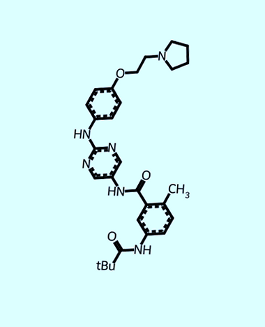 Cc1ccc(NC(=O)C(C)(C)C)cc1C(=O)Nc1cnc(Nc2ccc(OCCN3CCCC3)cc2)nc1